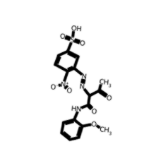 COc1ccccc1NC(=O)C(/N=N/c1cc(S(=O)(=O)O)ccc1[N+](=O)[O-])C(C)=O